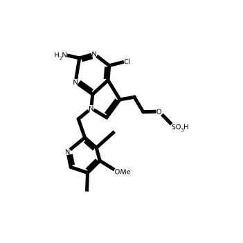 COc1c(C)cnc(Cn2cc(CCOS(=O)(=O)O)c3c(Cl)nc(N)nc32)c1C